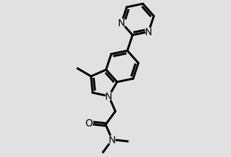 Cc1cn(CC(=O)N(C)C)c2ccc(-c3ncccn3)cc12